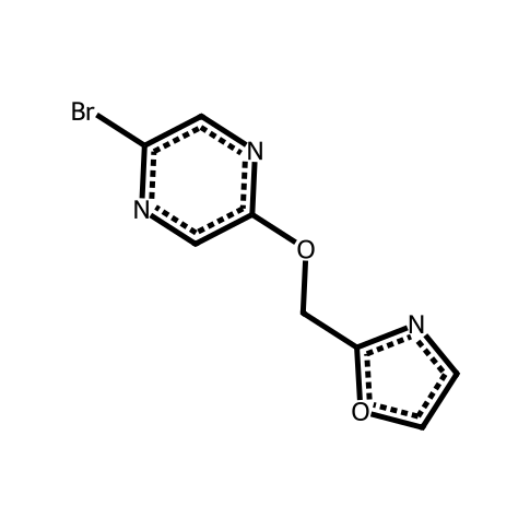 Brc1cnc(OCc2ncco2)cn1